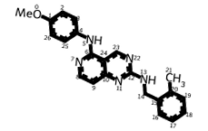 COc1ccc(Nc2nccc3nc(NCc4ccccc4C)ncc23)cc1